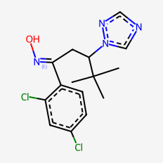 CC(C)(C)C(C/C(=N\O)c1ccc(Cl)cc1Cl)n1cncn1